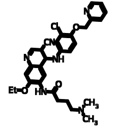 CCOc1cc2c(cc1NC(=O)CCCN(C)C)C(Nc1ccc(OCc3ccccn3)c(Cl)c1)C(C#N)C=N2